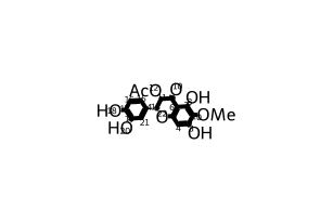 COc1c(O)cc2c(c1O)C(=O)[C@H](OC(C)=O)[C@@H](c1ccc(O)c(O)c1)O2